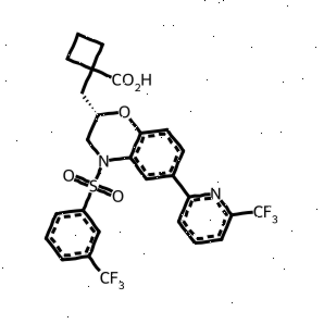 O=C(O)C1(C[C@H]2CN(S(=O)(=O)c3cccc(C(F)(F)F)c3)c3cc(-c4cccc(C(F)(F)F)n4)ccc3O2)CCC1